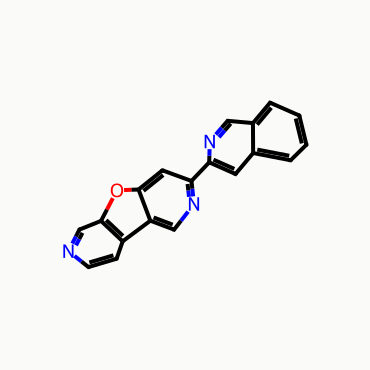 c1ccc2cc(-c3cc4oc5cnccc5c4cn3)ncc2c1